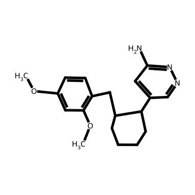 COc1ccc(CC2CCCCC2c2cnnc(N)c2)c(OC)c1